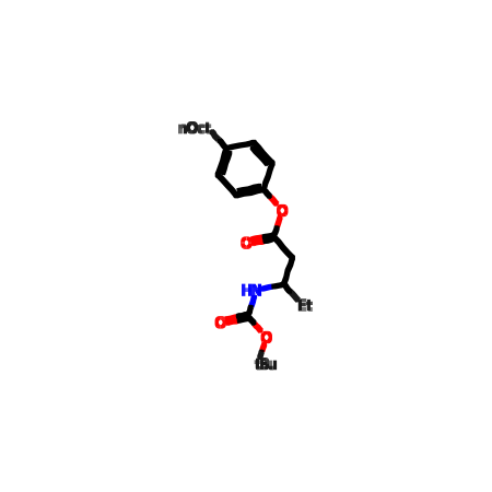 CCCCCCCCc1ccc(OC(=O)CC(CC)NC(=O)OC(C)(C)C)cc1